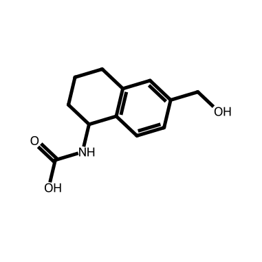 O=C(O)NC1CCCc2cc(CO)ccc21